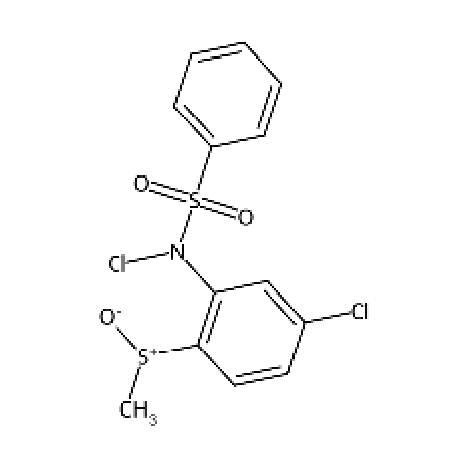 C[S+]([O-])c1ccc(Cl)cc1N(Cl)S(=O)(=O)c1ccccc1